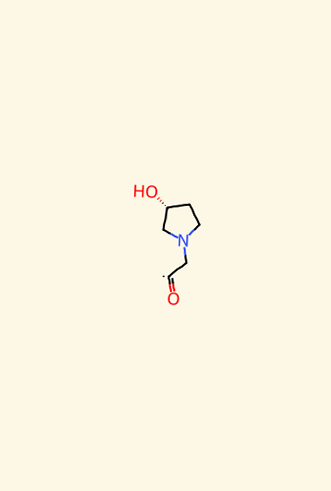 O=[C]CN1CC[C@@H](O)C1